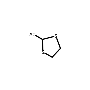 CC(=O)C1SCCS1